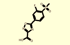 CS(=O)(=O)c1ccc(-c2nc(C(=O)O)no2)cc1F